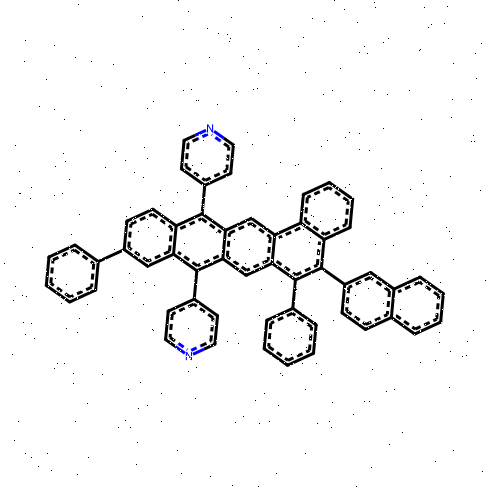 c1ccc(-c2ccc3c(-c4ccncc4)c4cc5c(cc4c(-c4ccncc4)c3c2)c(-c2ccccc2)c(-c2ccc3ccccc3c2)c2ccccc25)cc1